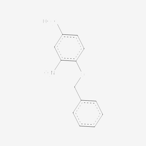 O=C(O)c1ccc(OCc2ccccc2)c([N+](=O)[O-])c1